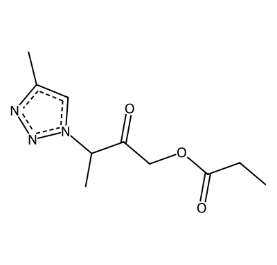 CCC(=O)OCC(=O)C(C)n1cc(C)nn1